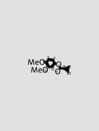 COc1ccc(OC(=O)C2CC2)cc1OC